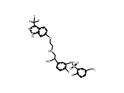 Nc1ccc(F)c(S(=O)(=O)Nc2cc(C(O)CNCCOc3ccc4c(C(F)(F)F)n[nH]c4c3)ccc2F)c1